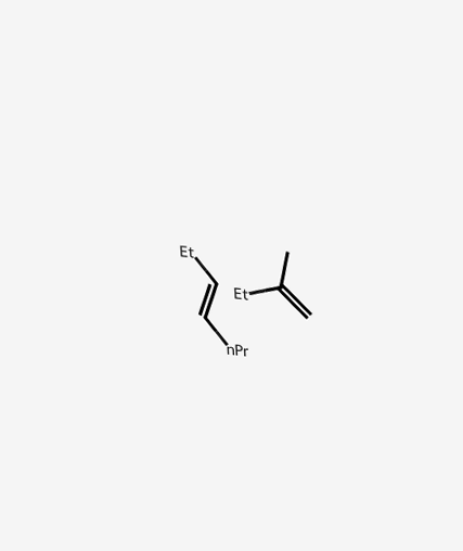 C=C(C)CC.CCC=CCCC